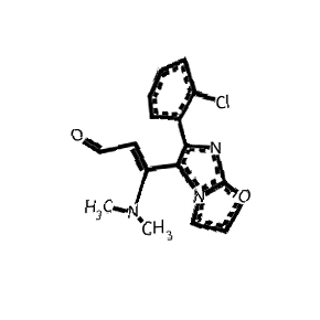 CN(C)C(=CC=O)c1c(-c2ccccc2Cl)nc2occn12